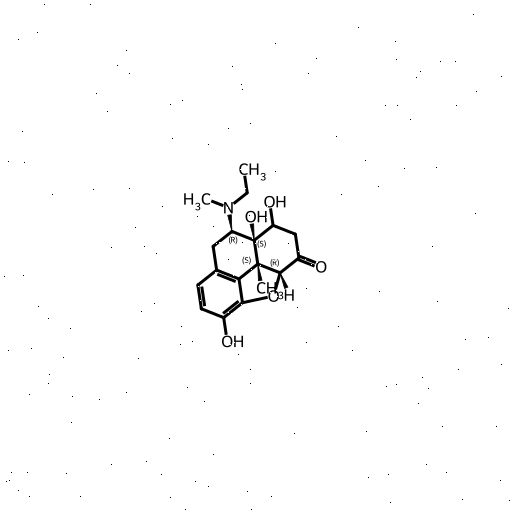 CCN(C)[C@@H]1Cc2ccc(O)c3c2[C@@]2(C)[C@@H](O3)C(=O)CC(O)[C@@]12O